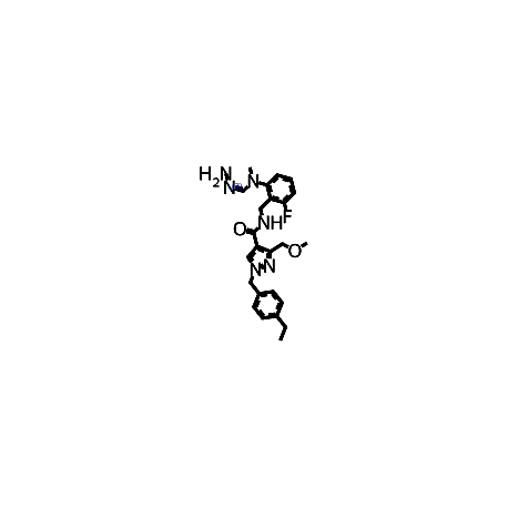 CCc1ccc(Cn2cc(C(=O)NCc3c(F)cccc3N(C)/C=N\N)c(COC)n2)cc1